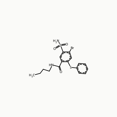 CCCCNC(=O)c1cc(S(N)(=O)=O)c(Br)cc1Sc1ccccc1